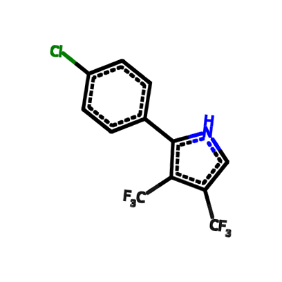 FC(F)(F)c1c[nH]c(-c2ccc(Cl)cc2)c1C(F)(F)F